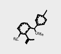 C=C(C)c1c(C#N)cccc1C(OC)c1ccc(C)cc1